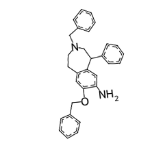 Nc1cc2c(cc1OCc1ccccc1)CCN(Cc1ccccc1)CC2c1ccccc1